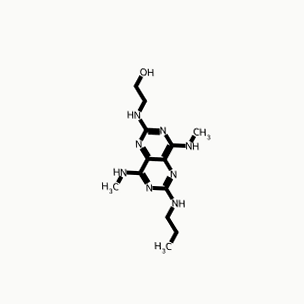 CCCNc1nc(NC)c2nc(NCCO)nc(NC)c2n1